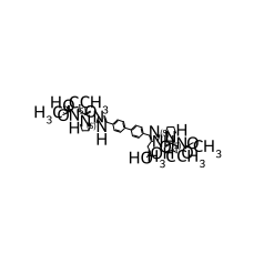 COC(=O)N[C@H](C(=O)N1CCC[C@H]1c1ncc(-c2ccc(-c3ccc(-c4nc([C@@H]5CCCN5C(=O)[C@@H](NC(=O)OC)C(C)C)[nH]c4CC(O)O)cc3)cc2)[nH]1)C(C)C